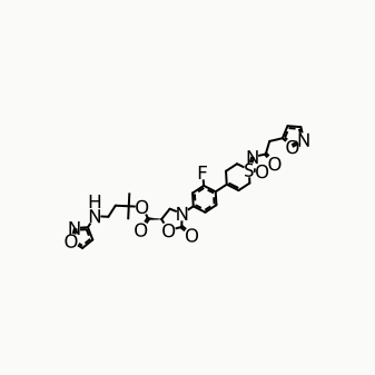 CC(C)(CCNc1ccon1)OC(=O)[C@H]1CN(c2ccc(C3=CCS(=O)(=NC(=O)Cc4ccno4)CC3)c(F)c2)C(=O)O1